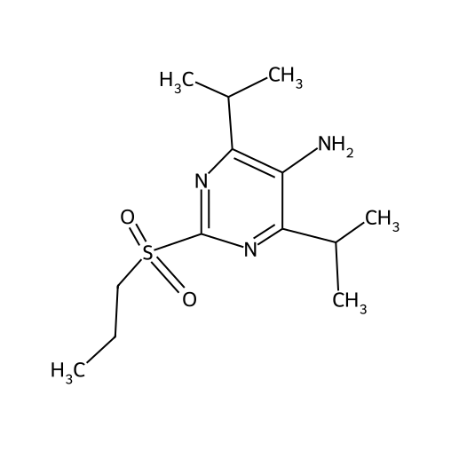 CCCS(=O)(=O)c1nc(C(C)C)c(N)c(C(C)C)n1